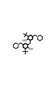 CC(C)(C)c1cc(CN2CCCCC2)cc(Cc2cc(CN3CCCCC3)cc(C(C)(C)C)c2O)c1O